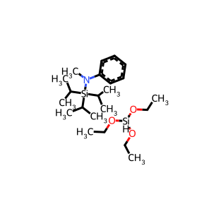 CC(C)[Si](C(C)C)(C(C)C)N(C)c1ccccc1.CCO[SiH](OCC)OCC